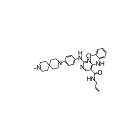 C=CCNC(=O)c1cnc(Nc2ccc(N3CCC4(CCN(C)CC4)CC3)cc2)nc1Nc1ccccc1Cl